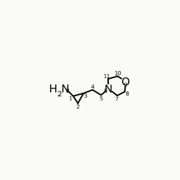 NC1CC1CCN1CCOCC1